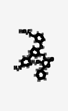 CCOC(=O)Cc1cccc(Oc2ccc(-c3ccc(N)cn3)cc2CN2C(=O)OC(c3ccccc3)C2C)c1